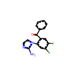 Nc1nccn1-c1cc(F)c(F)cc1C(=O)c1ccccc1